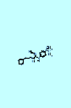 CN(C)c1ccc(NC(=NC#N)NCCCc2ccccc2)cn1